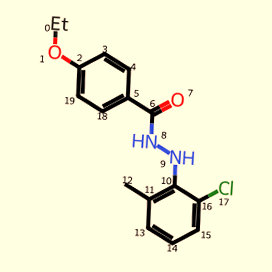 CCOc1ccc(C(=O)NNc2c(C)cccc2Cl)cc1